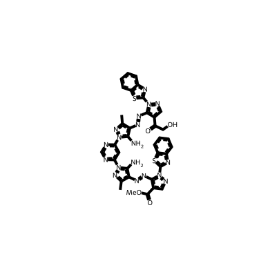 COC(=O)c1cnn(-c2nc3ccccc3s2)c1/N=N/c1c(C)nn(-c2cc(-n3nc(C)c(/N=N/c4c(C(=O)CO)cnn4-c4nc5ccccc5s4)c3N)ncn2)c1N